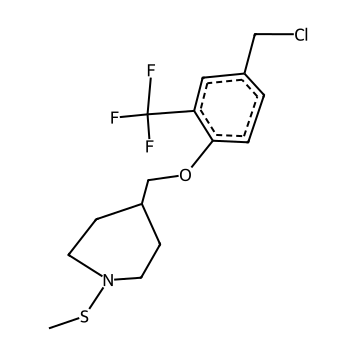 CSN1CCC(COc2ccc(CCl)cc2C(F)(F)F)CC1